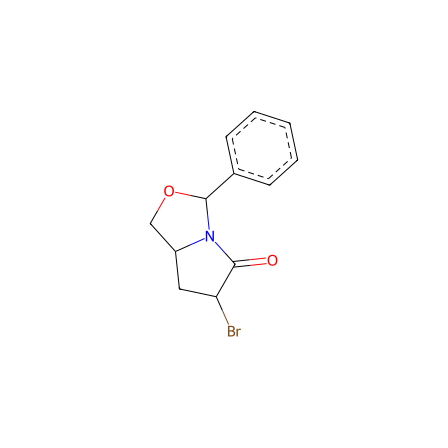 O=C1C(Br)CC2COC(c3ccccc3)N12